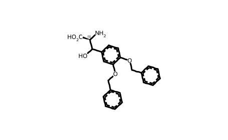 N[C@H](C(=O)O)C(O)c1ccc(OCc2ccccc2)c(OCc2ccccc2)c1